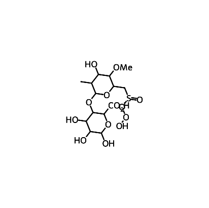 COC1C(CS(=O)OOO)OC(OC2C(C(=O)O)OC(O)C(O)C2O)C(C)C1O